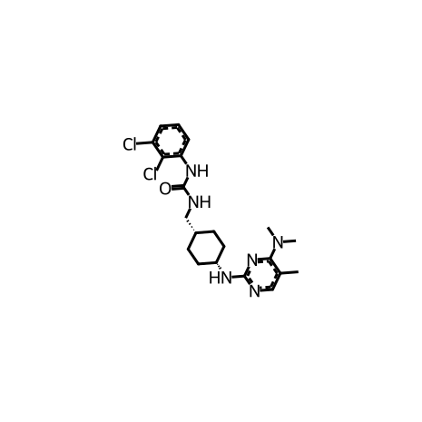 Cc1cnc(N[C@H]2CC[C@@H](CNC(=O)Nc3cccc(Cl)c3Cl)CC2)nc1N(C)C